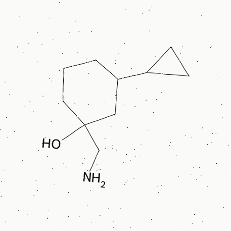 NCC1(O)CCCC(C2CC2)C1